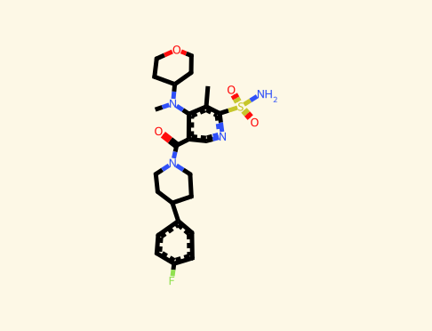 Cc1c(S(N)(=O)=O)ncc(C(=O)N2CCC(c3ccc(F)cc3)CC2)c1N(C)C1CCOCC1